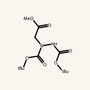 COC(=O)CN(NC(=O)OC(C)(C)C)C(=O)OC(C)(C)C